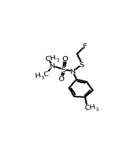 Cc1ccc(N(SCF)S(=O)(=O)N(C)C)cc1